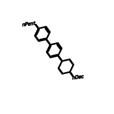 CCCCCCCCCCC1CCC(c2ccc(-c3ccc(CCCCC)cc3)cc2)CC1